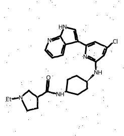 CCN1CCC(C(=O)N[C@H]2CC[C@H](Nc3cc(Cl)cc(-c4c[nH]c5ncccc45)n3)CC2)C1